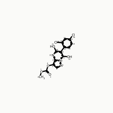 COC(=O)Oc1cnn2c(O)c(-c3ccc(Cl)cc3Cl)c(O)nc12